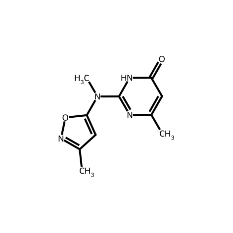 Cc1cc(N(C)c2nc(C)cc(=O)[nH]2)on1